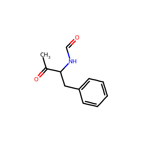 CC(=O)C(Cc1ccccc1)NC=O